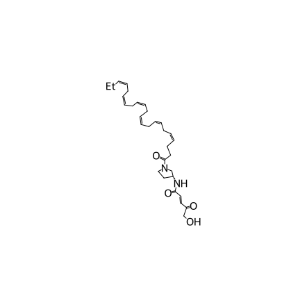 CC/C=C\C/C=C\C/C=C\C/C=C\C/C=C\C/C=C\CCC(=O)N1CC[C@H](NC(=O)/C=C/C(=O)CO)C1